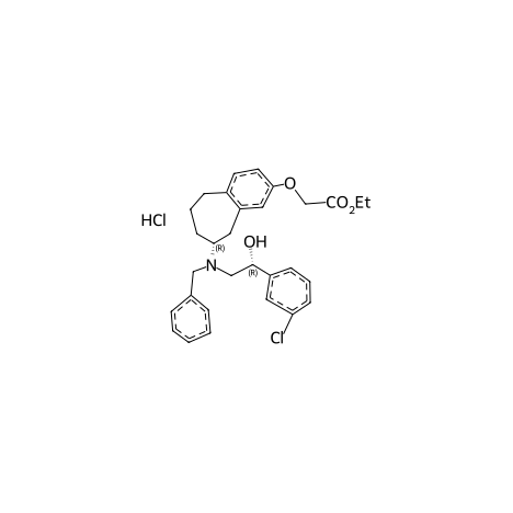 CCOC(=O)COc1ccc2c(c1)C[C@H](N(Cc1ccccc1)C[C@H](O)c1cccc(Cl)c1)CCC2.Cl